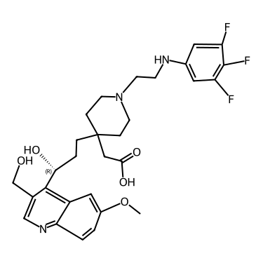 COc1ccc2ncc(CO)c([C@H](O)CCC3(CC(=O)O)CCN(CCNc4cc(F)c(F)c(F)c4)CC3)c2c1